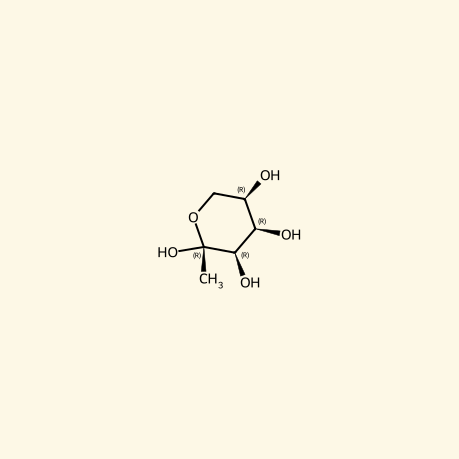 C[C@@]1(O)OC[C@@H](O)[C@@H](O)[C@H]1O